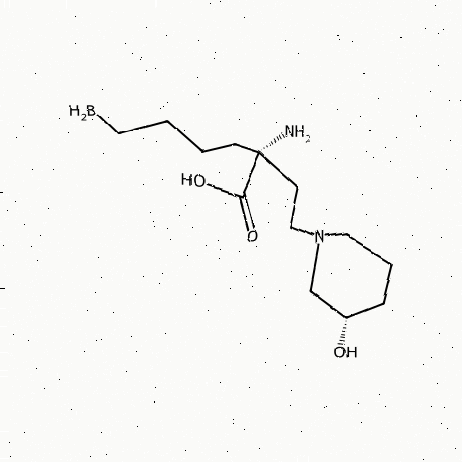 BCCCC[C@@](N)(CCN1CCC[C@H](O)C1)C(=O)O